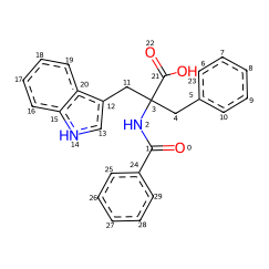 O=C(NC(Cc1ccccc1)(Cc1c[nH]c2ccccc12)C(=O)O)c1ccccc1